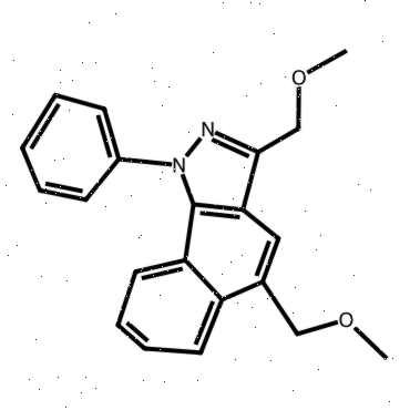 COCc1cc2c(COC)nn(-c3ccccc3)c2c2ccccc12